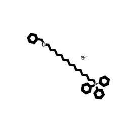 [Br-].c1ccc(COCCCCCCCCCCCCCCC[P+](c2ccccc2)(c2ccccc2)c2ccccc2)cc1